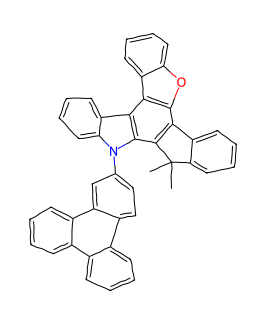 CC1(C)c2ccccc2-c2c1c1c(c3ccccc3n1-c1ccc3c4ccccc4c4ccccc4c3c1)c1c2oc2ccccc21